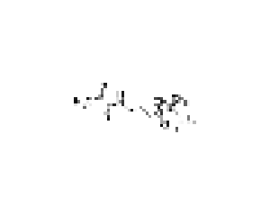 CC(=O)C(=O)NCCCS(C)(C)C(C)C